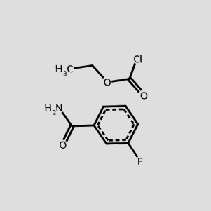 CCOC(=O)Cl.NC(=O)c1cccc(F)c1